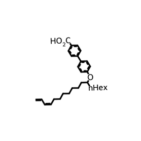 C=C/C=C\CCCCCCCC(CCCCCC)Oc1ccc(-c2ccc(C(=O)O)cc2)cc1